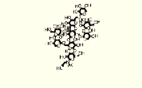 C#CCN(C(C)=O)[C@@H]1O[C@@H](CO)[C@@H](O[C@@H]2OC(CO[C@H]3OC[C@@H](O)[C@H](O)C3OC3OC(CO)[C@H](O)[C@H](O)[C@@H]3O)[C@@H](O[C@@H]3O[C@@H](CO[C@@H]4OC[C@H](O)C(O)C4O[C@@H]4OC(CO)[C@H](O)[C@H](O)C4O)[C@@H](O[C@@H]4OC(CO[C@H]5OC[C@@H](O)[C@H](O)C5O)[C@@H](O)[C@H](O)C4O)C(O)C3O)[C@H](O)C2O)C(O)C1O